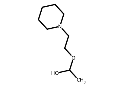 CC(O)OCCN1CCCCC1